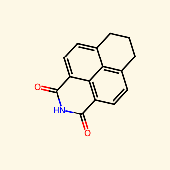 O=C1NC(=O)c2ccc3c4c(ccc1c24)CCC3